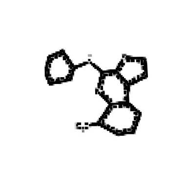 O=C(O)c1cccc2c1nc(Nc1ccccc1)c1sccc12